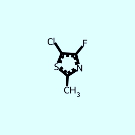 Cc1nc(F)c(Cl)s1